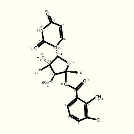 Cc1c(Cl)cccc1C(=O)O[C@@]1(F)O[C@@H](n2ccc(=O)[nH]c2=O)[C@](C)(F)[C@@H]1OCC(C)C